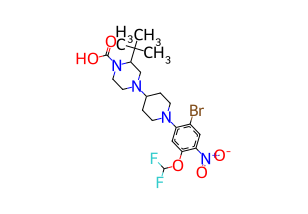 CC(C)(C)C1CN(C2CCN(c3cc(OC(F)F)c([N+](=O)[O-])cc3Br)CC2)CCN1C(=O)O